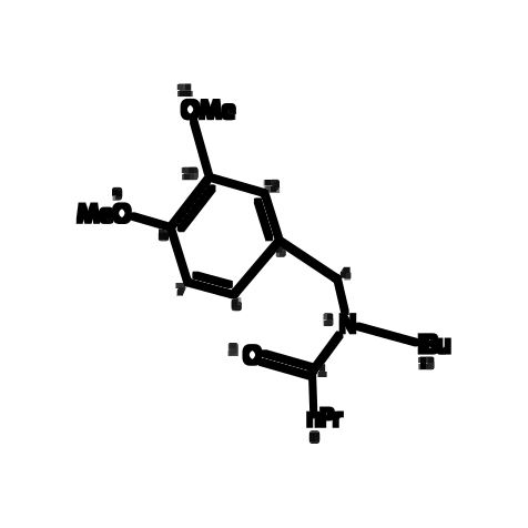 CCCC(=O)N(Cc1ccc(OC)c(OC)c1)C(C)CC